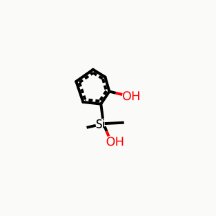 C[Si](C)(O)c1ccccc1O